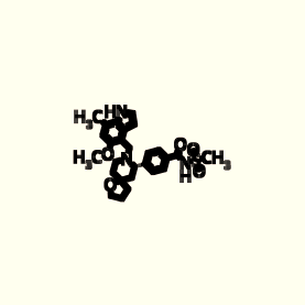 COc1cc(C)c2[nH]ccc2c1CN1CCC2(CCCO2)C[C@H]1c1ccc(C(=O)NS(C)(=O)=O)cc1